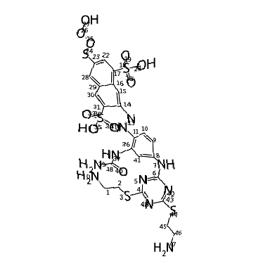 NCCSc1nc(Nc2ccc(/N=N/c3cc4c(S(=O)(=O)O)cc(SOOO)cc4cc3S(=O)(=O)O)c(NC(N)=O)c2)nc(SCCN)n1